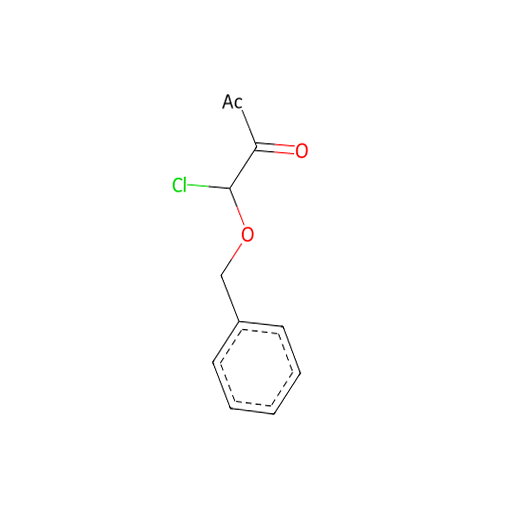 CC(=O)C(=O)C(Cl)OCc1ccccc1